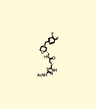 CC(=O)NC1=NNC(SCC(=O)NC[C@H]2CN(Cc3ccc(F)c(F)c3)CCO2)S1